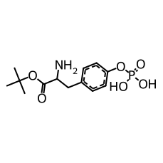 CC(C)(C)OC(=O)C(N)Cc1ccc(OP(=O)(O)O)cc1